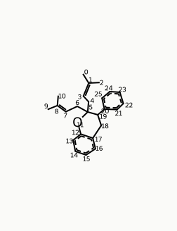 CC(C)=CCC1(CC=C(C)C)Oc2ccccc2CC1c1ccccc1